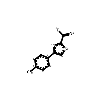 O=C(F)c1nc(-c2ccc(Cl)cc2)cs1